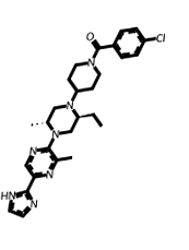 CC[C@H]1CN(c2ncc(-c3ncc[nH]3)nc2C)[C@H](C)CN1C1CCN(C(=O)c2ccc(Cl)cc2)CC1